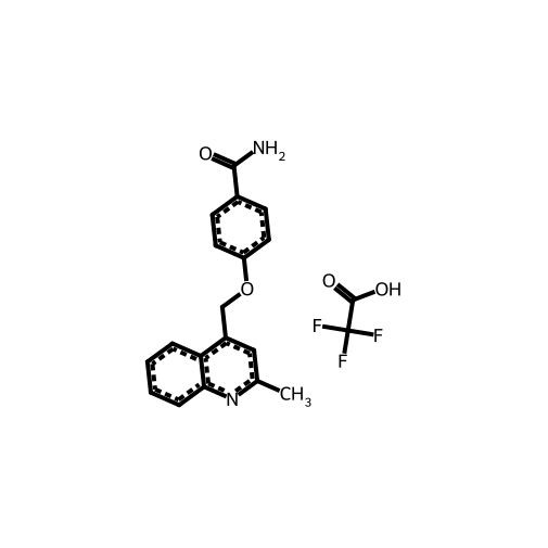 Cc1cc(COc2ccc(C(N)=O)cc2)c2ccccc2n1.O=C(O)C(F)(F)F